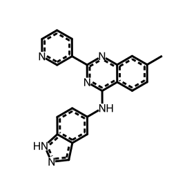 Cc1ccc2c(Nc3ccc4[nH]ncc4c3)nc(-c3cccnc3)nc2c1